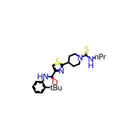 CCCNC(=S)N1CCC(c2nc(C(=O)Nc3ccccc3C(C)(C)C)cs2)CC1